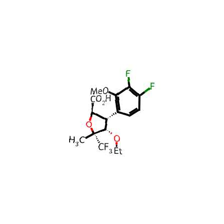 CCO[C@H]1[C@@H](c2ccc(F)c(F)c2OC)[C@H](C(=O)O)O[C@@]1(C)C(F)(F)F